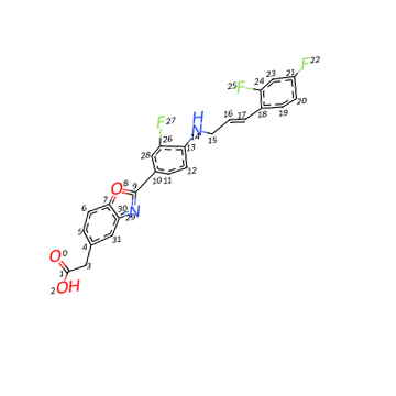 O=C(O)Cc1ccc2oc(-c3ccc(NCC=Cc4ccc(F)cc4F)c(F)c3)nc2c1